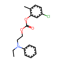 CCN(CCOC(=O)Oc1cc(Cl)ccc1C)c1ccccc1